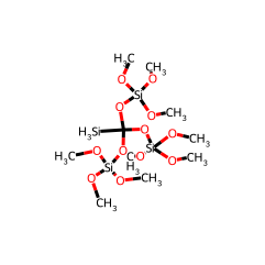 CO[Si](OC)(OC)OC([SiH3])(O[Si](OC)(OC)OC)O[Si](OC)(OC)OC